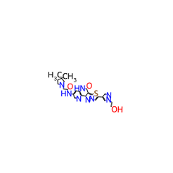 CC1(C)CCN(CC(=O)Nc2cnc3c(c2)[nH]c(=O)c2c3nn3cc(-c4cnn(CCO)c4)sc23)C1